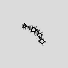 Clc1cc(SNc2nccs2)ccc1OC1CCN(C2CCCCC2)CC1